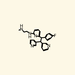 CNCCNc1cccc(C(c2ccc(F)cc2)C(c2cccnc2)c2cccnc2)n1